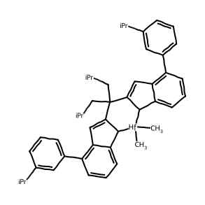 CC(C)CC1(CC(C)C)C2=Cc3c(-c4cccc(C(C)C)c4)cccc3[CH]2[Hf]([CH3])([CH3])[CH]2C1=Cc1c(-c3cccc(C(C)C)c3)cccc12